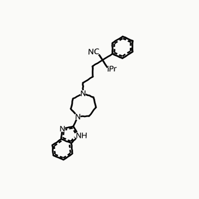 CC(C)C(C#N)(CCCN1CCCN(c2nc3ccccc3[nH]2)CC1)c1ccccc1